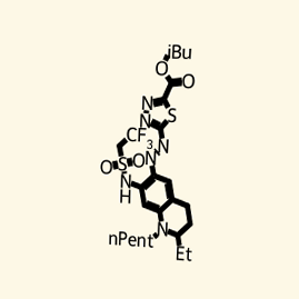 CCCCCN1c2cc(NS(=O)(=O)CC(F)(F)F)c(N=Nc3nnc(C(=O)OC(C)CC)s3)cc2CCC1CC